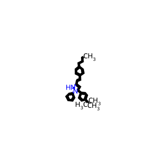 CCCCc1ccc(C=CC2=CC(c3ccc(C(C)(C)C)cc3)N(c3ccccc3)N2)cc1